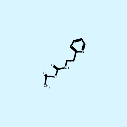 CC(=O)OC(=O)NCCc1ccccn1